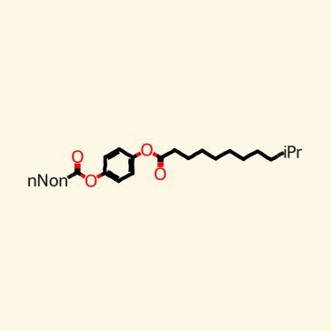 CCCCCCCCCC(=O)Oc1ccc(OC(=O)CCCCCCCCC(C)C)cc1